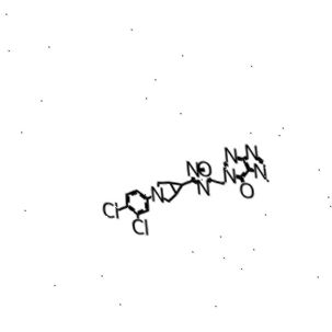 Cn1cnc2ncn(Cc3nc(C4C5CN(c6ccc(Cl)c(Cl)c6)CC54)no3)c(=O)c21